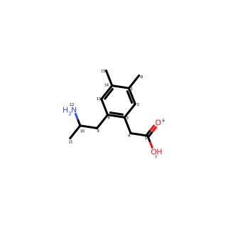 Cc1cc(CC(=O)O)c(CC(C)N)cc1C